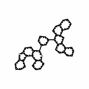 c1cc(-c2c3ccc4ccccc4c3cc3c2ccc2ccccc23)cc(-c2nc3ccccc3c3c2ccc2sc4ccccc4c23)c1